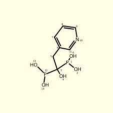 OP(O)C(O)(Cc1cccnc1)P(O)O